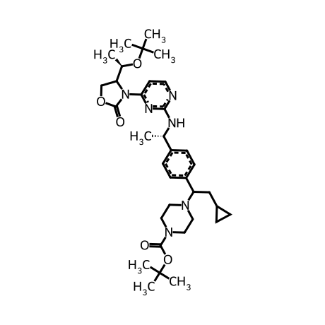 C[C@H](Nc1nccc(N2C(=O)OCC2[C@@H](C)OC(C)(C)C)n1)c1ccc(C(CC2CC2)N2CCN(C(=O)OC(C)(C)C)CC2)cc1